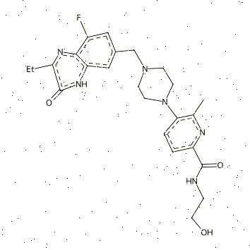 CCc1nc2c(F)cc(CN3CCN(c4ccc(C(=O)NCCO)nc4C)CC3)cc2[nH]c1=O